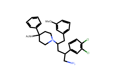 COc1cccc(CC(CC(CN)c2ccc(Cl)c(Cl)c2)N2CCC(NC(C)=O)(c3ccccc3)CC2)c1